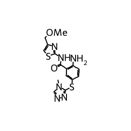 COCc1csc(NC(=O)c2cc(Sc3nncn3C)ccc2N)n1